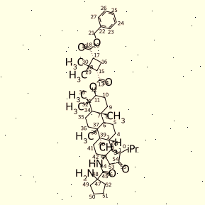 CC(C)C1=C2[C@H]3CCC4[C@@]5(C)CC[C@H](OC(=O)[C@H]6C[C@@H](C(=O)OCc7ccccc7)C6(C)C)C(C)(C)C5CC[C@@]4(C)[C@]3(C)CC[C@@]2(NC(=O)C2(N)CCCC2)CC1=O